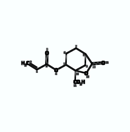 C=CC(=O)OC1CCC2CC1(C(=O)O)OC2=O